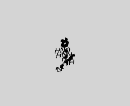 Cc1cc(NCCN(C)C)nc(NC(=O)Nc2ccc(C)c(C)c2)n1